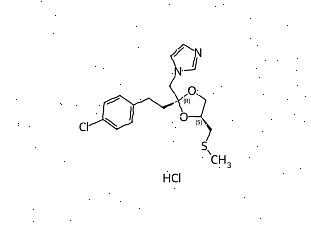 CSC[C@@H]1CO[C@@](CCc2ccc(Cl)cc2)(Cn2ccnc2)O1.Cl